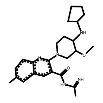 COC1CN(c2nc3ccc(C)cc3cc2C(=O)NC(C)=N)CCC1NC1CCCC1